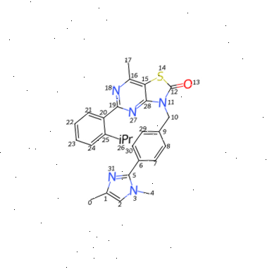 Cc1cn(C)c(-c2ccc(Cn3c(=O)sc4c(C)nc(-c5ccccc5C(C)C)nc43)cc2)n1